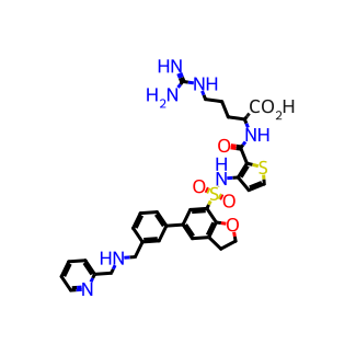 N=C(N)NCCCC(NC(=O)c1sccc1NS(=O)(=O)c1cc(-c2cccc(CNCc3ccccn3)c2)cc2c1OCC2)C(=O)O